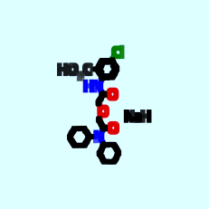 O=C(COCC(=O)N(C1CCCCC1)C1CCCCC1)Nc1ccc(Cl)cc1C(=O)O.[NaH]